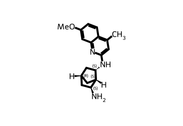 COc1ccc2c(C)cc(N[C@H]3C[C@@H]4C[C@H]3[C@@H](N)C4)nc2c1